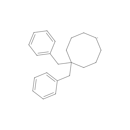 [CH]1CCCC(Cc2ccccc2)(Cc2ccccc2)CCC1